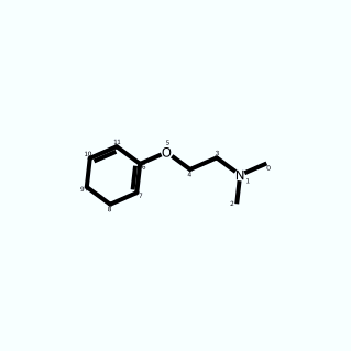 CN(C)CCOC1=CC[CH]C=C1